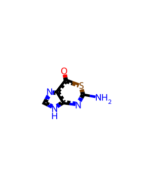 Nc1nc2[nH]cnc2c(=O)s1